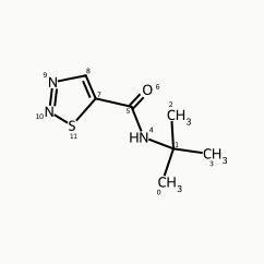 CC(C)(C)NC(=O)c1cnns1